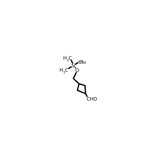 CC(C)(C)[Si](C)(C)OCC1CC(C=O)C1